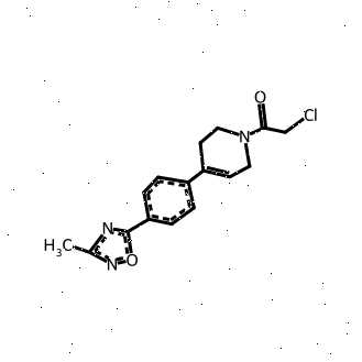 Cc1noc(-c2ccc(C3=CCN(C(=O)CCl)CC3)cc2)n1